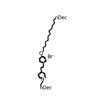 CCCCCCCCCCCCCCCCCCCCCCOc1ccc(C=Cc2cc[n+](CCCCCCCCCCCC)cc2)cc1.[Br-]